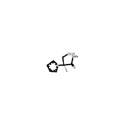 COC(=O)[C@](C)(CC(=O)O)n1cccc1